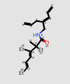 C=C/C=C(\CC=C)CNC(=O)C(C)(CC)/C(=C/C=CCC)CC